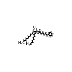 CCCCCCCCCCC(C)(CCCCCCCC)COC(=O)CCCCCc1ccccc1